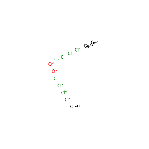 [Cl-].[Cl-].[Cl-].[Cl-].[Cl-].[Cl-].[Cl-].[Cl-].[Ge+4].[Ge+4].[Ge+4].[O-2].[O-2]